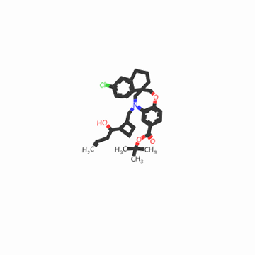 C=CCC(O)C1CCC1CN1CC2(CCCc3cc(Cl)ccc32)COc2ccc(C(=O)OC(C)(C)C)cc21